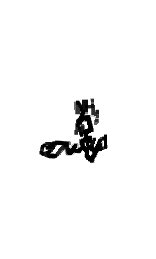 Nc1ccc(-c2cc(CN3CCOCC3)c3cccc(Cl)c3n2)nc1